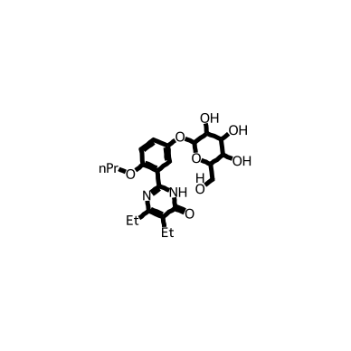 CCCOc1ccc(OC2OC(CO)C(O)C(O)C2O)cc1-c1nc(CC)c(CC)c(=O)[nH]1